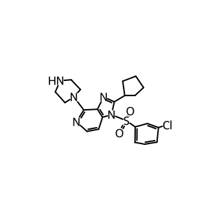 O=S(=O)(c1cccc(Cl)c1)n1c(C2CCCC2)nc2c(N3CCNCC3)nccc21